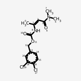 C/C(=C/C(=O)N(C)C)NC(=O)OCc1ccc(Cl)c(Cl)c1